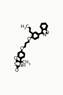 CCCc1cc(-c2noc3ccccc23)ccc1OCCCOc1ccc(C2(C)NC(=O)SC2=O)cc1